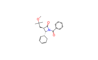 COC(C)(C)C[C@H]1C(=O)N(C(=O)c2ccccc2)C1[C@H]1C=CC=CC1